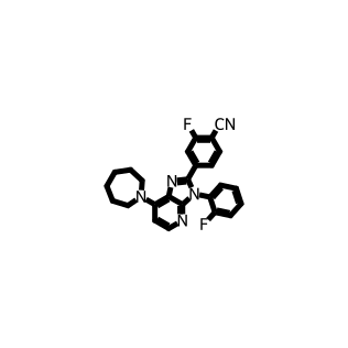 N#Cc1ccc(-c2nc3c(N4CCCCCC4)ccnc3n2-c2ccccc2F)cc1F